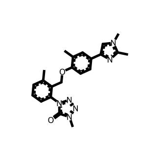 Cc1cc(-c2cn(C)c(C)n2)ccc1OCc1c(C)cccc1-n1nnn(C)c1=O